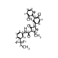 CCC(F)(F)c1cccc(NC(=O)C2C(=O)N(c3ccc(Cl)c(-c4ncccc4C)c3)N=C2C)c1